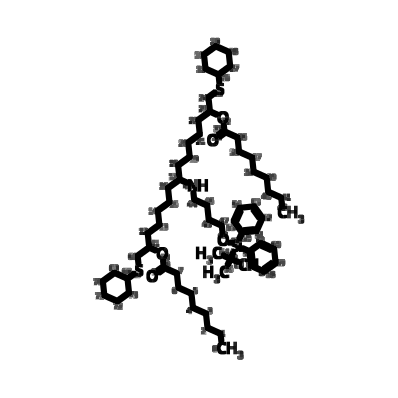 CCCCCCCCC(=O)OC(CCCCCC(CCCCCC(CSC1CCCCC1)OC(=O)CCCCCCCC)NCCCCO[Si](c1ccccc1)(c1ccccc1)C(C)(C)C)CSC1CCCCC1